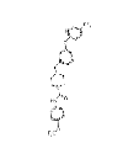 O=C(Nc1ccc(OC(F)(F)F)cc1)N1CCC(Cc2cccc(Oc3ccc(C(F)(F)F)cn3)c2)CC1